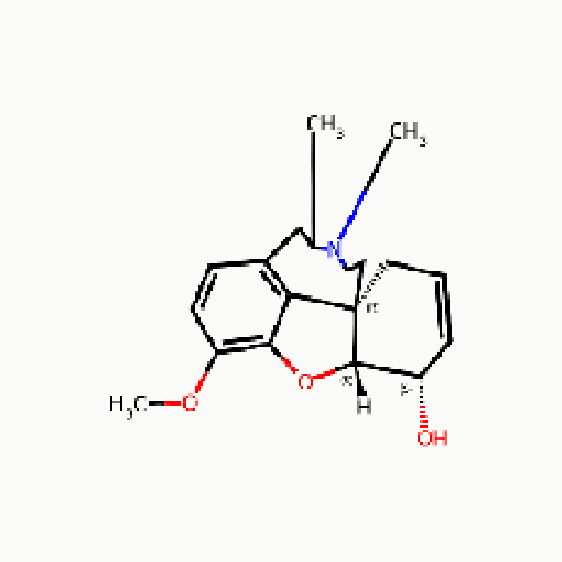 COc1ccc2c3c1O[C@H]1[C@@H](O)C=CC[C@@]31CCN(C)C(C)C2